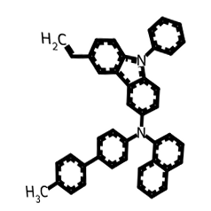 C=Cc1ccc2c(c1)c1cc(N(c3ccc(-c4ccc(C)cc4)cc3)c3cccc4ccccc34)ccc1n2-c1ccccc1